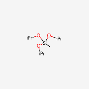 CC(C)O[Si](C)(OC(C)C)OC(C)C